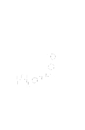 CCOc1cccc(-c2ccc(C(=O)N3CCN(c4ccc(C(=O)NCC(F)(F)F)cc4)CC3)cc2F)c1